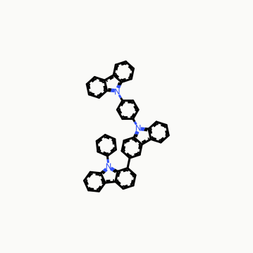 c1ccc(-n2c3ccccc3c3cccc(-c4ccc5c(c4)c4ccccc4n5-c4ccc(-n5c6ccccc6c6ccccc65)cc4)c32)cc1